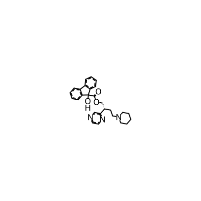 O=C(OC[C@H](CCN1CCCCC1)c1cnccn1)C1(O)c2ccccc2-c2ccccc21